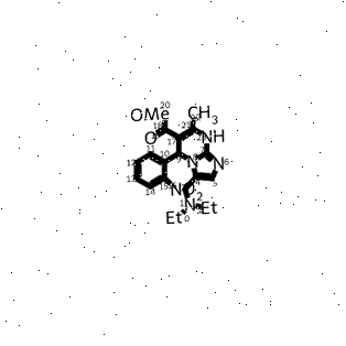 CCN(CC)Cc1cnc2n1C(c1ccccc1[N+](=O)[O-])C(C(=O)OC)=C(C)N2